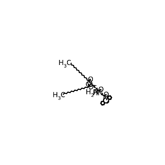 CCCCCCCCCCCCCCCC(=O)OCC(CSC[C@H](N)C(=O)NCCC(=O)N1Cc2ccccc2C#Cc2ccccc21)OC(=O)CCCCCCCCCCCCCCC